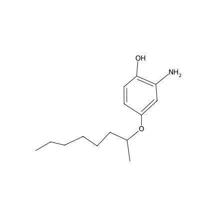 CCCCCCC(C)Oc1ccc(O)c(N)c1